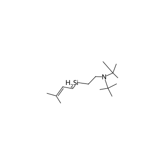 CC(C)=CC[SiH2]CCN(C(C)(C)C)C(C)(C)C